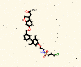 COC(=O)CC1COc2cc(OCc3cccc(-c4c(C)cc(OCCNS(=O)(=O)CCCCl)cc4C)c3)ccc21